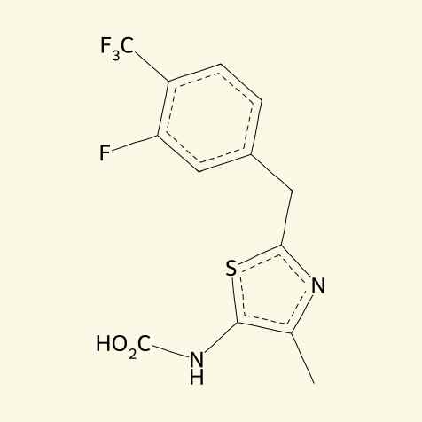 Cc1nc(Cc2ccc(C(F)(F)F)c(F)c2)sc1NC(=O)O